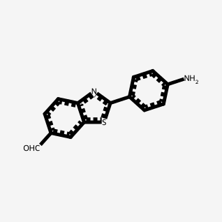 Nc1ccc(-c2nc3ccc(C=O)cc3s2)cc1